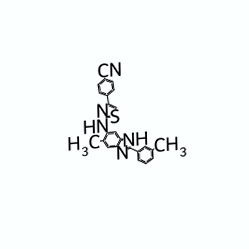 Cc1cccc(-c2nc3cc(C)c(Nc4nc(-c5ccc(C#N)cc5)cs4)cc3[nH]2)c1